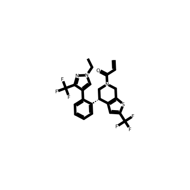 C=CC(=O)N1Cc2sc(C(F)(F)F)cc2[C@H](c2ccccc2-c2cn(CC)nc2C(F)(F)F)C1